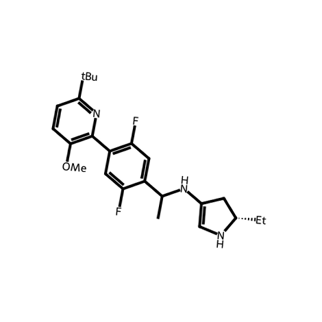 CC[C@H]1CC(NC(C)c2cc(F)c(-c3nc(C(C)(C)C)ccc3OC)cc2F)=CN1